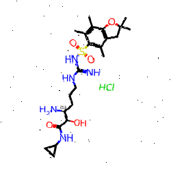 Cc1c(C)c(S(=O)(=O)NC(=N)NCCC[C@H](N)C(O)C(=O)NC2CC2)c(C)c2c1OC(C)(C)C2.Cl